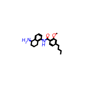 CCCCc1ccc(C(=O)Nc2cccc3c2CCCC3N)c(OC)c1